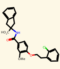 COc1cc(C(=O)NC2(C(=O)O)Cc3ccccc3C2)ccc1OCCc1ccccc1Cl